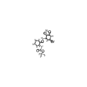 CC(C)(C)OC(=O)Cc1ccccc1OCc1cc(Br)cc2c1OCO2